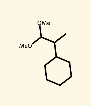 COC(OC)C(C)C1CCCCC1